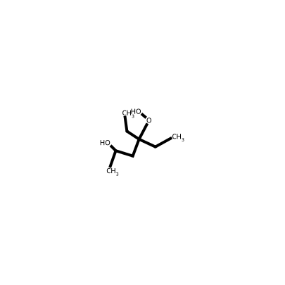 CCC(CC)(CC(C)O)OO